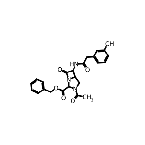 CC(=O)N1CC2[C@H](NC(=O)Cc3cccc(O)c3)C(=O)N2C1C(=O)OCc1ccccc1